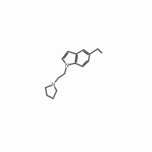 CCc1ccc2c(ccn2CCN2CCCC2)c1